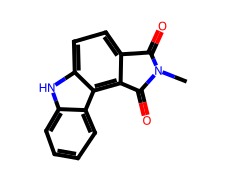 CN1C(=O)c2ccc3[nH]c4ccccc4c3c2C1=O